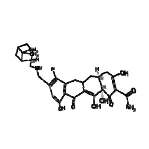 CC1(C)C2CC[C@H](CNCc3cc(O)c4c(c3F)CC3C[C@H]5CC(O)=C(C(N)=O)C(=O)[C@@]5(O)C(O)=C3C4=O)C1C2